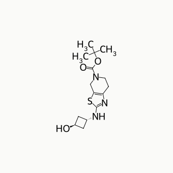 CC(C)(C)OC(=O)N1CCc2nc(N[C@H]3C[C@H](O)C3)sc2C1